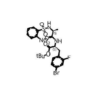 C[C@H](NS(=O)(=O)c1ccccc1[N+](=O)[O-])C(=O)N[C@@H](Cc1ccc(Br)cc1F)C(=O)OC(C)(C)C